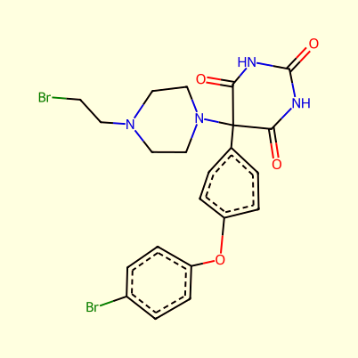 O=C1NC(=O)C(c2ccc(Oc3ccc(Br)cc3)cc2)(N2CCN(CCBr)CC2)C(=O)N1